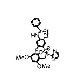 CC[C@H](Nc1cc(F)c(S(=O)(=O)N(Cc2ccc(OC)cc2OC)c2nccs2)cc1Cl)c1ccccc1